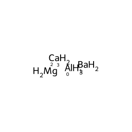 [AlH3].[BaH2].[CaH2].[MgH2]